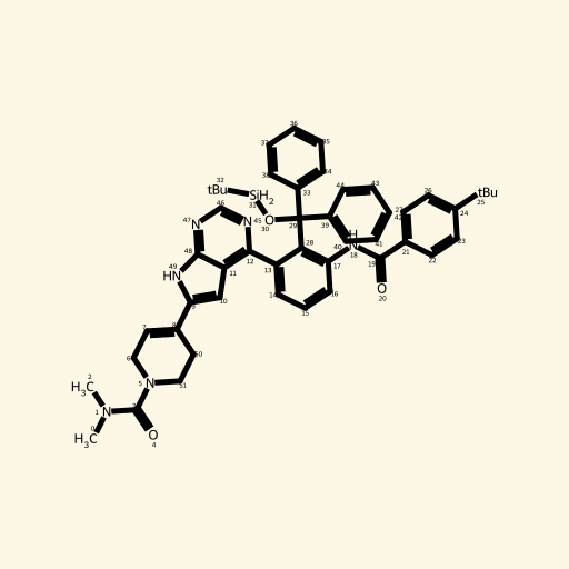 CN(C)C(=O)N1CC=C(c2cc3c(-c4cccc(NC(=O)c5ccc(C(C)(C)C)cc5)c4C(O[SiH2]C(C)(C)C)(c4ccccc4)c4ccccc4)ncnc3[nH]2)CC1